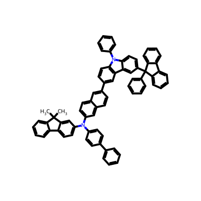 CC1(C)c2ccccc2-c2ccc(N(c3ccc(-c4ccccc4)cc3)c3ccc4cc(-c5ccc6c(c5)c5cc(C7(c8ccccc8)c8ccccc8-c8ccccc87)ccc5n6-c5ccccc5)ccc4c3)cc21